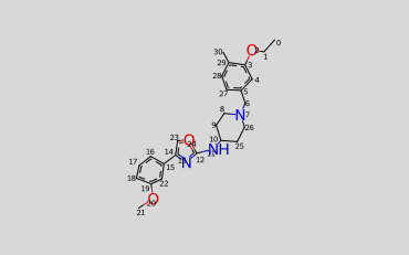 CCOc1cc(CN2CCC(Nc3nc(-c4cccc(OC)c4)co3)CC2)ccc1C